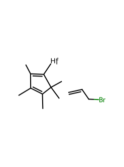 C=CCBr.CC1=C(C)C(C)(C)[C]([Hf])=C1C